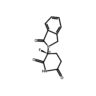 O=C1CC[C@@](F)(N2Cc3ccccc3C2=O)C(=O)N1